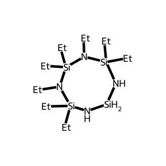 CCN1[Si](CC)(CC)N[SiH2]N[Si](CC)(CC)N(CC)[Si]1(CC)CC